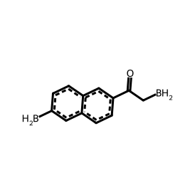 BCC(=O)c1ccc2cc(B)ccc2c1